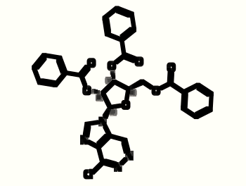 O=C(OC[C@H]1O[C@@H](n2cnc3c(Cl)nncc32)[C@H](OC(=O)c2ccccc2)[C@@H]1OC(=O)c1ccccc1)c1ccccc1